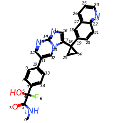 CNC(=O)C(O)(F)c1ccc(-c2cnc3ncc(C4(c5ccc6ncccc6c5)CC4)n3c2)cc1